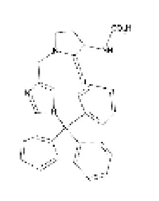 O=C(O)NC1CCN(Cc2cn(C(c3ccccc3)(c3ccccc3)c3ccccc3)cn2)C1=O